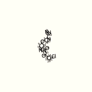 Cn1cc(-c2cc(Oc3ccc4ncn(CC(=O)c5cccc(Cl)c5)c(=O)c4c3)ccn2)cn1